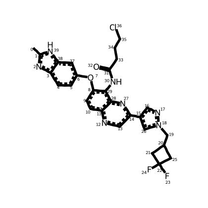 Cc1nc2ccc(Oc3ccc4ncc(-c5cnn(CC6CC(F)(F)C6)c5)nc4c3NC(=O)CCCCl)cc2[nH]1